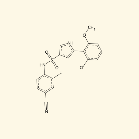 COc1cccc(Cl)c1-c1cc(S(=O)(=O)Nc2ccc(C#N)cc2F)c[nH]1